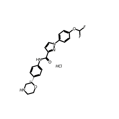 Cl.O=C(Nc1ccc([C@H]2CNCCO2)cc1)c1ccn(-c2ccc(OC(F)F)cc2)n1